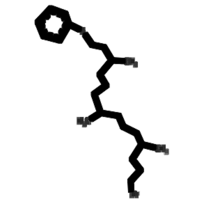 CC(C)CCCC(C)CCCC(C)CCCC(C)CCSc1ccccc1